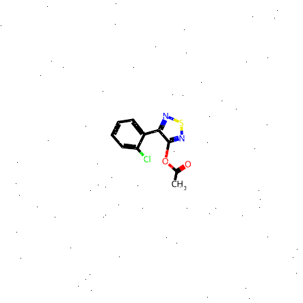 CC(=O)Oc1nsnc1-c1ccccc1Cl